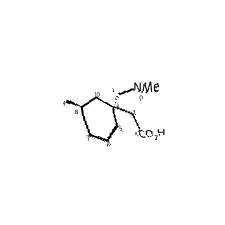 CNC[C@]1(CC(=O)O)CCC[C@@H](C)C1